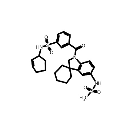 CS(=O)(=O)Nc1ccc2c(c1)C1(CCCCC1)CN2C(=O)c1cccc(S(=O)(=O)NC2C=CCCC2)c1